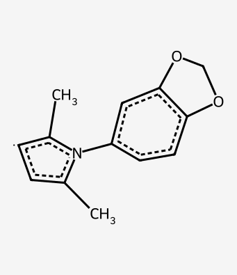 Cc1[c]cc(C)n1-c1ccc2c(c1)OCO2